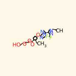 C#CCn1cc(-c2cnc3c(Oc4ccc(C(=O)OCCOCCO)c(CC)c4)nccn23)c(C(F)F)n1